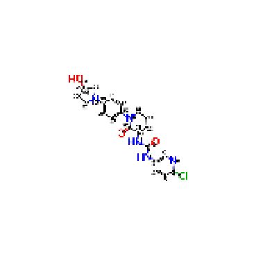 O=C(Nc1ccc(Cl)nc1)N[C@@H]1CCCN(c2ccc(N3CC[C@@H](O)C3)cc2)C1=O